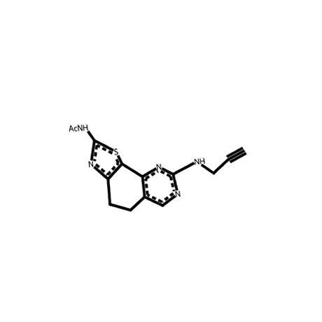 C#CCNc1ncc2c(n1)-c1sc(NC(C)=O)nc1CC2